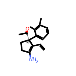 C=CC1=C(N)CC[C@@]1(C(C)=O)c1cccc(C)c1C